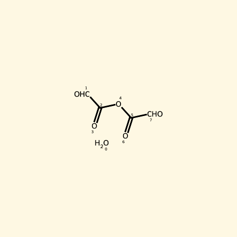 O.O=CC(=O)OC(=O)C=O